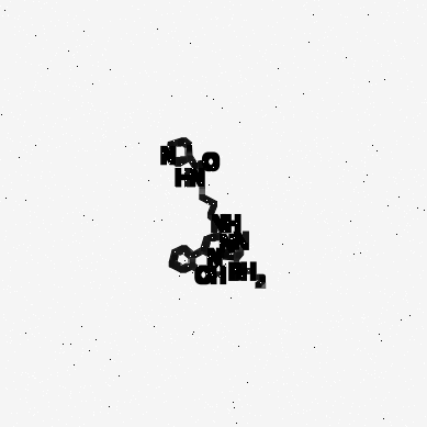 Bc1cnn2c(NCCCCNC(=O)c3cccnc3)cc(-c3ccccc3O)nc12